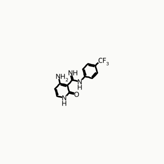 N=C(Nc1ccc(C(F)(F)F)cc1)c1c(N)cc[nH]c1=O